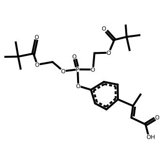 C/C(=C\C(=O)O)c1ccc(OP(=O)(OCOC(=O)C(C)(C)C)OCOC(=O)C(C)(C)C)cc1